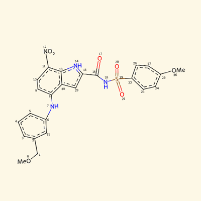 COCc1cccc(Nc2ccc([N+](=O)[O-])c3[nH]c(C(=O)NS(=O)(=O)c4ccc(OC)cc4)cc23)c1